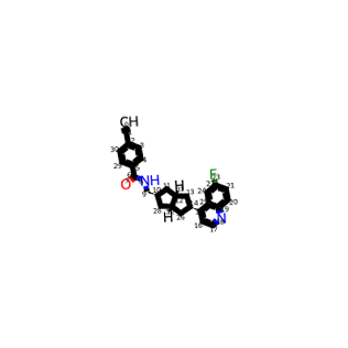 C#Cc1ccc(C(=O)NC[C@@H]2C[C@@H]3C[C@H](c4ccnc5ccc(F)cc45)C[C@@H]3C2)cc1